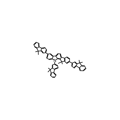 CC1(C)c2ccccc2-c2ccc(-c3ccc4c(c3)C(C)(C)c3c-4ccc4c5cc(-c6ccc7c(c6)C(C)(C)c6ccccc6-7)ccc5n(-c5ccc6c(c5)C(C)(C)c5ccccc5-6)c34)cc21